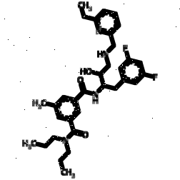 CCCN(CCC)C(=O)c1cc(C)cc(C(=O)NC(Cc2cc(F)cc(F)c2)C(O)CNCc2cccc(CC)n2)c1